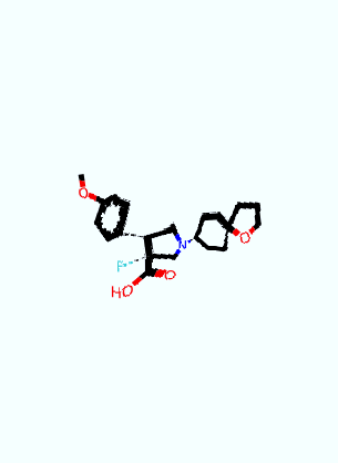 COc1ccc([C@@H]2CN([C@H]3CC[C@]4(CCCO4)CC3)C[C@@]2(F)C(=O)O)cc1